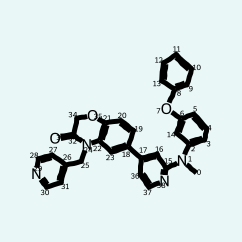 CN(c1cccc(Oc2ccccc2)c1)c1cc(-c2ccc3c(c2)N(Cc2ccncc2)C(=O)CO3)ccn1